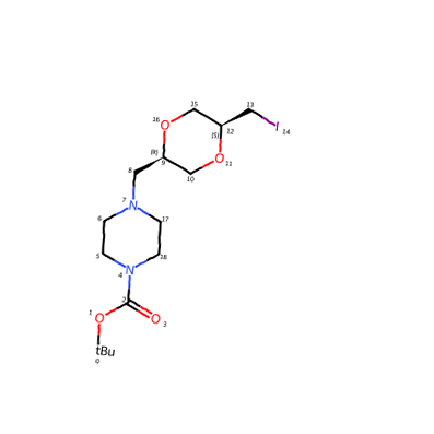 CC(C)(C)OC(=O)N1CCN(C[C@@H]2CO[C@H](CI)CO2)CC1